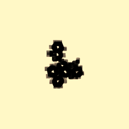 COc1ccccc1[C@@]1(O)[C@H](O)CC(c2ccccc2)(c2ccccc2)[C@@H]2CN(C(=O)Cc3ccccc3O)C[C@@H]21